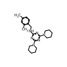 Cc1ccc(CNc2nc(N3CCCCC3)nc(N3CCCCC3)n2)c(C)c1